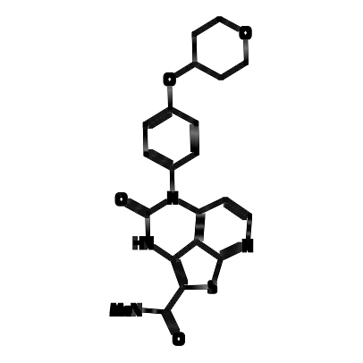 CNC(=O)c1sc2nccc3c2c1NC(=O)N3c1ccc(OC2CCOCC2)cc1